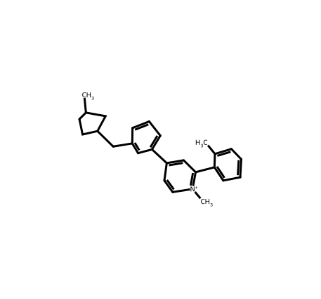 Cc1ccccc1-c1cc(-c2cccc(CC3CCC(C)C3)c2)cc[n+]1C